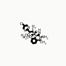 COc1cccc(OC)c1N(C(=N)NN)S(=O)(=O)[C@@H](C)[C@H](OC)c1ncc(Cl)cn1